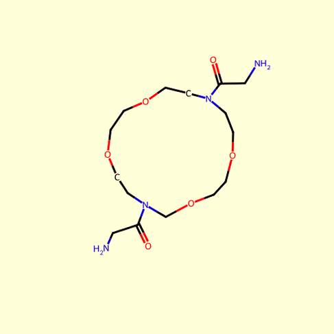 NCC(=O)N1CCOCCOCCN(C(=O)CN)COCCOCC1